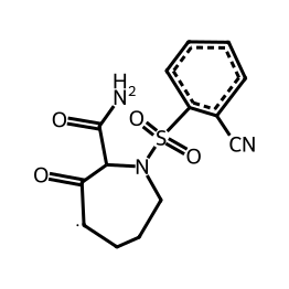 N#Cc1ccccc1S(=O)(=O)N1CCC[CH]C(=O)C1C(N)=O